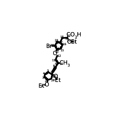 CCOC1=CC=CC(C#CC(C)=CCOc2ccc(C[C@H](OCC)C(=O)O)cc2Br)(OCC)C1